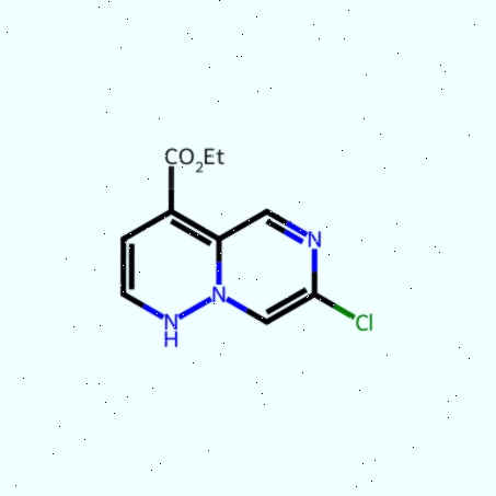 CCOC(=O)C1=C2C=NC(Cl)=CN2NC=C1